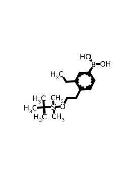 CCc1cc(B(O)O)ccc1CCO[Si](C)(C)C(C)(C)C